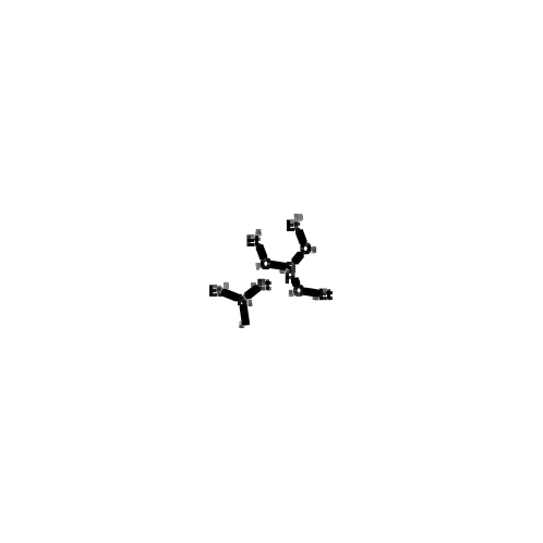 CCN(C)CC.CCO[SiH](OCC)OCC